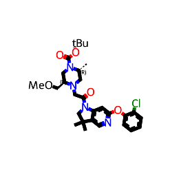 COC[C@H]1CN(C(=O)OC(C)(C)C)[C@H](C)CN1CC(=O)N1CC(C)(C)c2cnc(Oc3ccccc3Cl)cc21